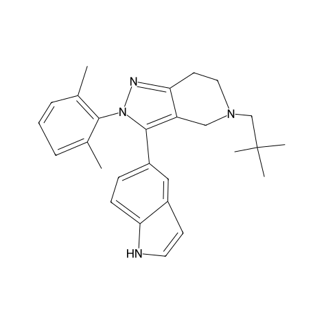 Cc1cccc(C)c1-n1nc2c(c1-c1ccc3[nH]ccc3c1)CN(CC(C)(C)C)CC2